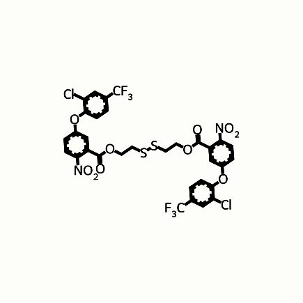 O=C(OCCSSCCOC(=O)c1cc(Oc2ccc(C(F)(F)F)cc2Cl)ccc1[N+](=O)[O-])c1cc(Oc2ccc(C(F)(F)F)cc2Cl)ccc1[N+](=O)[O-]